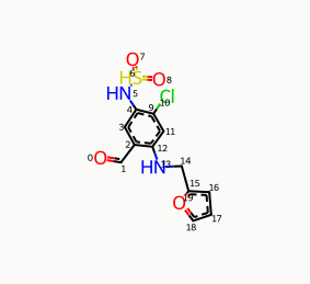 O=Cc1cc(N[SH](=O)=O)c(Cl)cc1NCc1ccco1